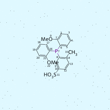 COc1ccccc1P(c1cc(S(=O)(=O)O)ccc1C)c1ccccc1OC